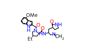 C=NCC(CC1CCNC1=O)NC(=O)C1CC(CC)CN1C(=O)c1cc2c(OC)cccc2[nH]1